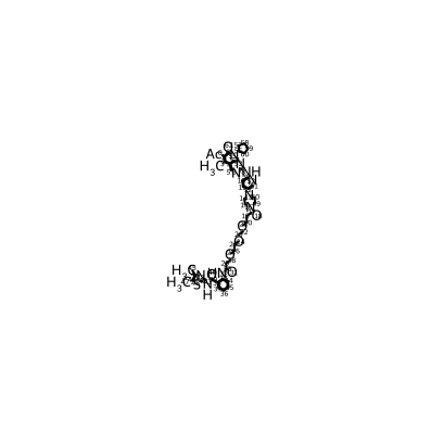 CC(=O)c1c(C)c2cnc(Nc3ccc(N4CCN(C(=O)CCOCCOCCOCCC(=O)Nc5ccccc5C(=O)Nc5nc(C)c(C)s5)CC4)cn3)nc2n(C2CCCC2)c1=O